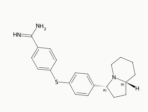 N=C(N)c1ccc(Sc2ccc([C@H]3CC[C@H]4CCCCN43)cc2)cc1